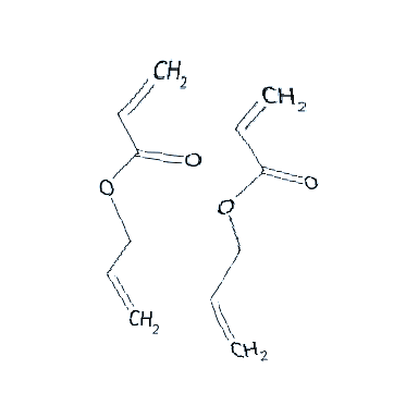 C=CCOC(=O)C=C.C=CCOC(=O)C=C